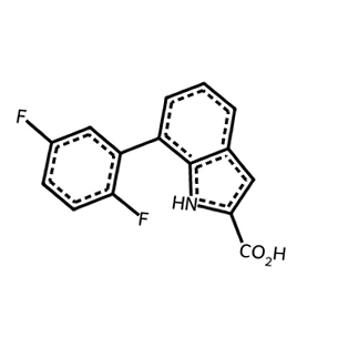 O=C(O)c1cc2cccc(-c3cc(F)ccc3F)c2[nH]1